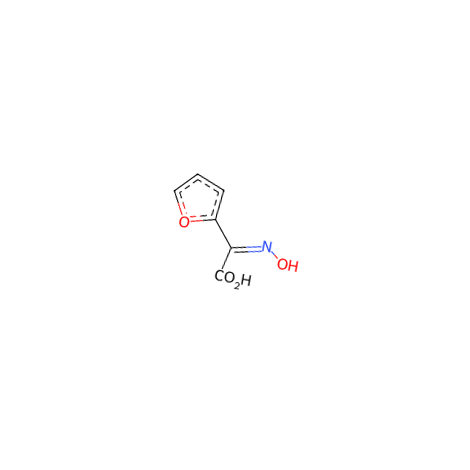 O=C(O)/C(=N\O)c1ccco1